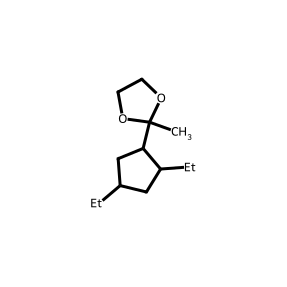 CCC1CC(CC)C(C2(C)OCCO2)C1